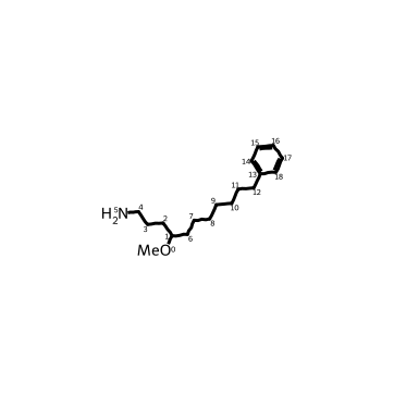 COC(CCCN)CCCCCCCc1ccccc1